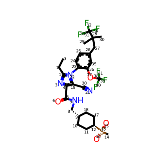 CCc1nc(C(=O)NC[C@H]2CC[C@H](S(C)(=O)=O)CC2)c(C#N)n1-c1ccc(CC(C)(C)C(F)(F)F)cc1OC(F)(F)F